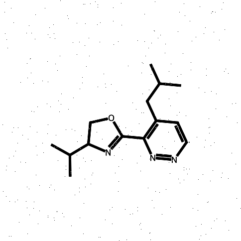 CC(C)Cc1c[c]nnc1C1=NC(C(C)C)CO1